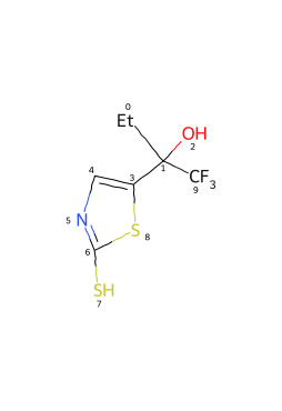 CCC(O)(c1cnc(S)s1)C(F)(F)F